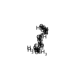 CC(C)c1cc(-c2cccc3cc(-c4ccc(C(=O)NCC#Cc5cnc6cnn(C7CCC(=O)NC7=O)c6c5)nc4)ncc23)cc2c1n(C)c(=O)n2C